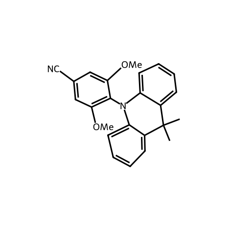 COc1cc(C#N)cc(OC)c1N1c2ccccc2C(C)(C)c2ccccc21